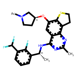 CC(=O)N1CC[C@H](Oc2cc3c(N[C@H](C)c4cccc(C(F)F)c4F)nc(C)nc3c3c2SCC3)C1